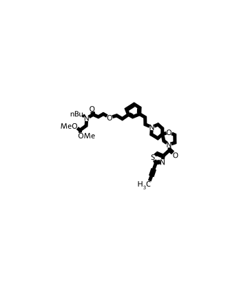 CC#Cc1nc(C(=O)N2CCOC3(CCN(CCc4cccc(CCOCCC(=O)N(CCCC)CC(OC)OC)c4)CC3)C2)cs1